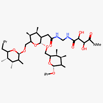 CNC(=O)C(O)C(O)C(=O)NCNC(=O)CC1[C@H](OCC2O[C@@H](OC(C)C)C(C)[C@H](C)[C@@H]2C)OC(CO[C@@H]2OC(CC(C)C)[C@@H](C)[C@@H](C)C2C)[C@@H](C)[C@H]1C